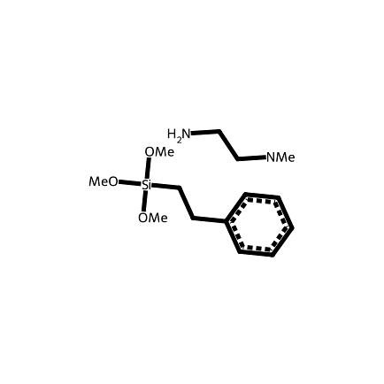 CNCCN.CO[Si](CCc1ccccc1)(OC)OC